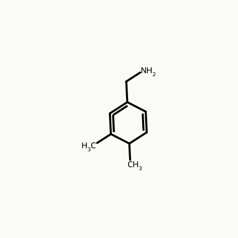 CC1=C=C(CN)C=CC1C